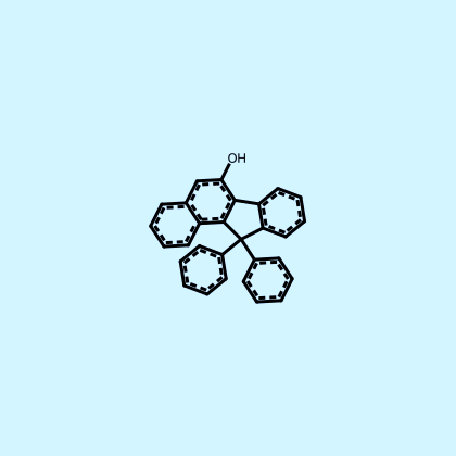 Oc1cc2ccccc2c2c1-c1ccccc1C2(c1ccccc1)c1ccccc1